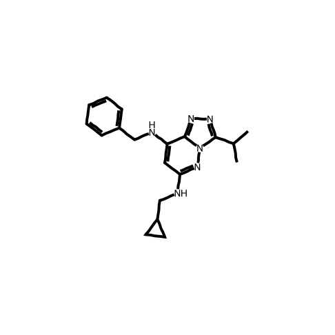 CC(C)c1nnc2c(NCc3ccccc3)cc(NCC3CC3)nn12